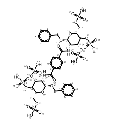 O=C(N[C@@H]1[C@@H](OCc2ccccc2)O[C@H](COS(=O)(=O)O)[C@@H](OS(=O)(=O)O)[C@@H]1OS(=O)(=O)O)c1ccc(C(=O)N[C@@H]2[C@@H](OCc3ccccc3)O[C@H](COS(=O)(=O)O)[C@@H](OS(=O)(=O)O)[C@@H]2OS(=O)(=O)O)cc1